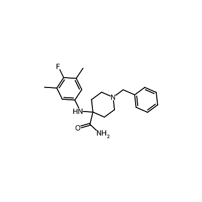 Cc1cc(NC2(C(N)=O)CCN(Cc3ccccc3)CC2)cc(C)c1F